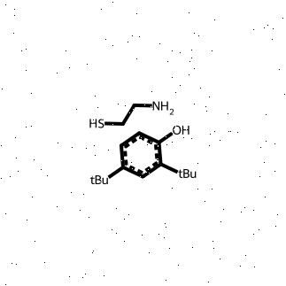 CC(C)(C)c1ccc(O)c(C(C)(C)C)c1.NCCS